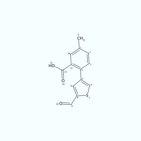 Cc1ccc(-c2csc(C=O)c2)c(C(=O)O)c1